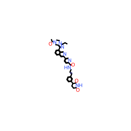 CCc1nc(-c2cccc3cc(-c4ccc(C(=O)NC/C=C/c5cccc(C6CCC(=O)NC6=O)c5)nc4)ncc23)c2n1CCN(C(C)=O)C2